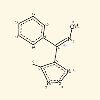 Cc1nsnc1/C(=N/O)c1ccccc1